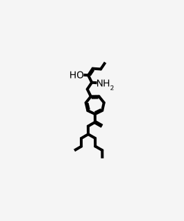 C=C(CC(CCC)CCCC)C1=CCC=C(CC(N)/C(O)=C\CC)C=C1